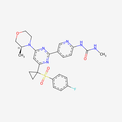 CNC(=O)Nc1ccc(-c2nc(N3CCOC[C@@H]3C)cc(C3(S(=O)(=O)c4ccc(F)cc4)CC3)n2)cn1